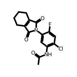 CC(=O)Nc1cc(N2C(=O)C3=C(CCCC3)C2=O)c(F)cc1Cl